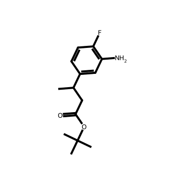 CC(CC(=O)OC(C)(C)C)c1ccc(F)c(N)c1